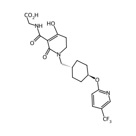 O=C(O)CNC(=O)C1=C(O)CCN(C[C@H]2CC[C@H](Oc3ccc(C(F)(F)F)cn3)CC2)C1=O